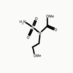 COCCN(C(=O)OC)S(N)(=O)=O